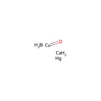 [BiH3].[CaH2].[Hg].[O]=[Cu]